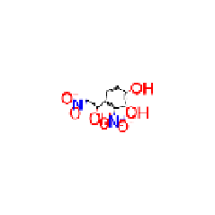 O=[N+]([O-])CC(O)c1ccc(O)c(O)c1[N+](=O)[O-]